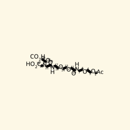 CC(=O)COCCOCCNC(=O)COCCOCCNC(=O)CN(CC(=O)O)C(=O)CC(=O)O